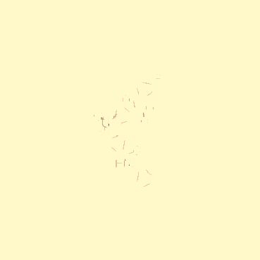 CCOC(=O)c1c(-c2ccc(F)cc2)oc2cc([N+](=O)[O-])c(-c3cccc(C(=O)NC(C)(C)c4ccccc4)c3)cc12